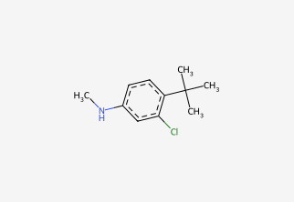 CNc1ccc(C(C)(C)C)c(Cl)c1